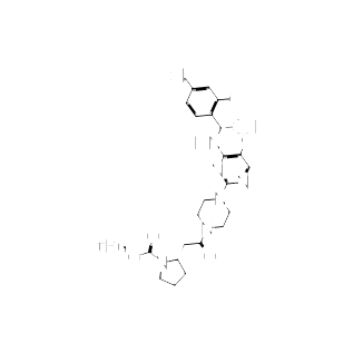 C[C@@H](Nc1nc(N2CCN(C(=O)C[C@H]3CCCN3C(=O)OC(C)(C)C)CC2)ncc1Cl)c1ccc(Cl)cc1Cl